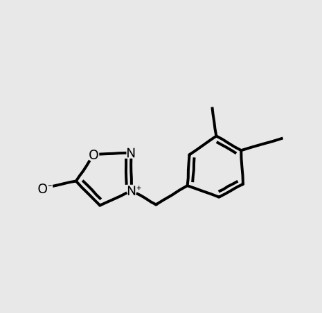 Cc1ccc(C[n+]2cc([O-])on2)cc1C